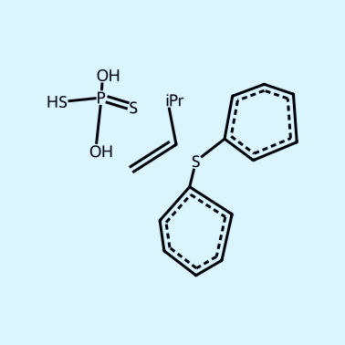 C=CC(C)C.OP(O)(=S)S.c1ccc(Sc2ccccc2)cc1